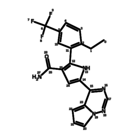 CCc1ccc(C(F)(F)F)cc1-c1[nH]c(-c2ncnn3cccc23)cc1C(N)=O